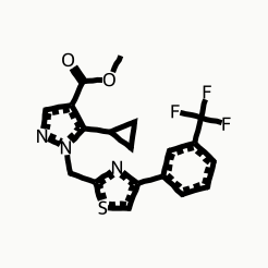 COC(=O)c1cnn(Cc2nc(-c3cccc(C(F)(F)F)c3)cs2)c1C1CC1